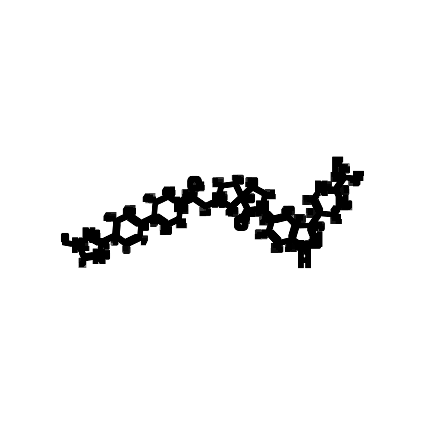 Cn1cnc(-c2ccc(C3=CCN(C(=O)CN4CCC5(CCN(c6ccc7[nH]nc(-c8cnc(C(F)F)nc8)c7c6)C5=O)C4)CC3)cc2)n1